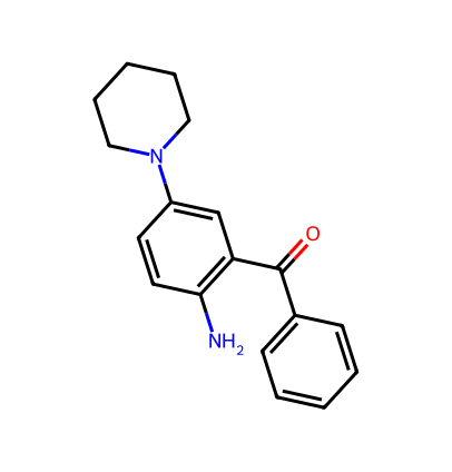 Nc1ccc(N2CCCCC2)cc1C(=O)c1ccccc1